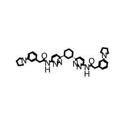 O=C(Cc1cccc(N2CCCC2)c1)Nc1ccc([C@H]2CCC[C@H](c3ccc(NC(=O)Cc4cccc(N5CCCC5)c4)nn3)C2)nn1